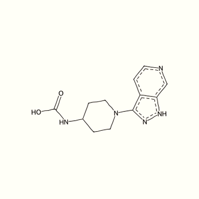 O=C(O)NC1CCN(c2n[nH]c3cnccc23)CC1